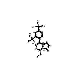 CSc1nnc(-c2ccc(C(F)(F)F)cc2C(F)(F)F)c2ccnn12